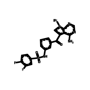 CC(C)n1cc(C(=O)c2cccc(NS(=O)(=O)c3ccc(F)c(F)c3)c2)c2c(N)ncnc21